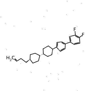 C=CCC[C@H]1CC[C@H](C2CCC(c3ccc(-c4ccc(F)c(F)c4)cc3)CC2)CC1